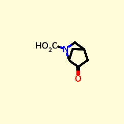 O=C1CC2CC1N(C(=O)O)C2